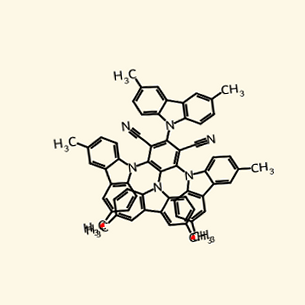 Cc1ccc2c(c1)c1cc(C)ccc1n2-c1c(C#N)c(-n2c3ccc(C)cc3c3cc(C)ccc32)c(-n2c3ccc(C)cc3c3cc(C)ccc32)c(-n2c3ccc(C)cc3c3cc(C)ccc32)c1C#N